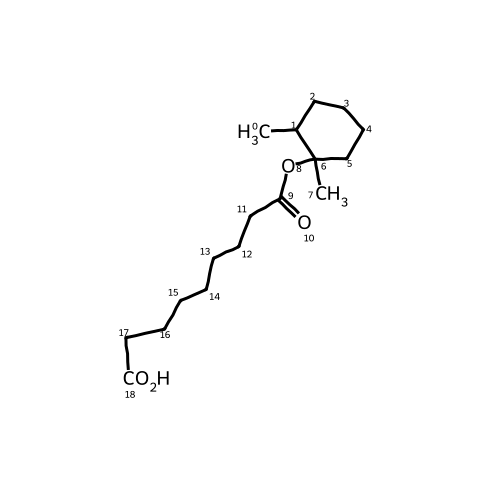 CC1CCCCC1(C)OC(=O)CCCCCCCC(=O)O